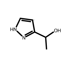 CC(O)c1[c]c[nH]n1